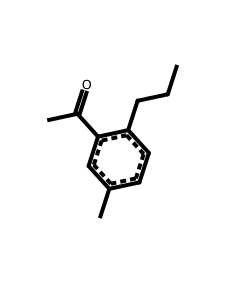 CCCc1ccc(C)cc1C(C)=O